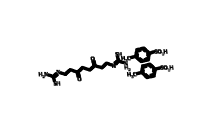 Cc1ccc(S(=O)(=O)O)cc1.Cc1ccc(S(=O)(=O)O)cc1.NC(S)=NCCC(=O)CCC(=O)CCN=C(N)S